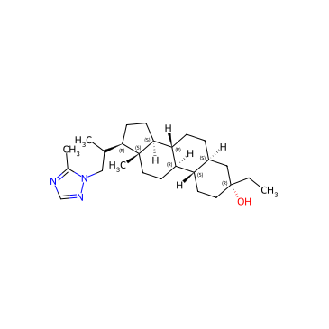 CC[C@@]1(O)CC[C@H]2[C@@H](CC[C@@H]3[C@@H]2CC[C@]2(C)[C@@H](C(C)Cn4ncnc4C)CC[C@@H]32)C1